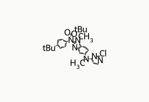 CN(c1ccc2c(c1)nc(N(C(=O)OC(C)(C)C)c1ccc(C(C)(C)C)cc1)n2C)c1ccnc(Cl)n1